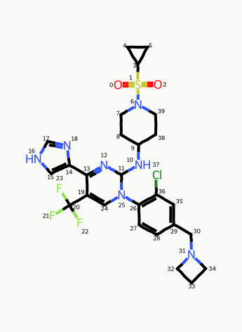 O=S(=O)(C1CC1)N1CCC(NC2N=C(c3c[nH]cn3)C(C(F)(F)F)=CN2c2ccc(CN3CCC3)cc2Cl)CC1